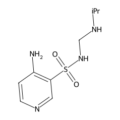 CC(C)NCNS(=O)(=O)c1cnccc1N